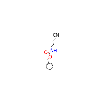 N#CCCCCNC(=O)OCc1ccccc1